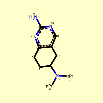 CCCN(CCC)C1CCc2nc(N)ncc2C1